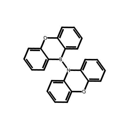 c1ccc2c(c1)Oc1ccccc1B2N1c2ccccc2Oc2ccccc21